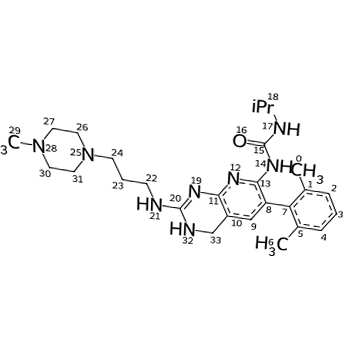 Cc1cccc(C)c1-c1cc2c(nc1NC(=O)NC(C)C)N=C(NCCCN1CCN(C)CC1)NC2